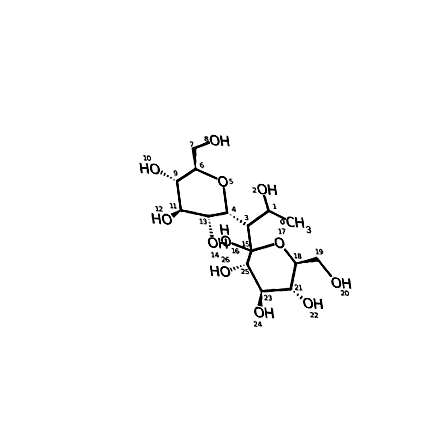 CC(O)C([C@H]1O[C@H](CO)[C@@H](O)[C@H](O)[C@H]1O)C1(O)O[C@@H](CO)[C@H](O)[C@@H](O)[C@@H]1O